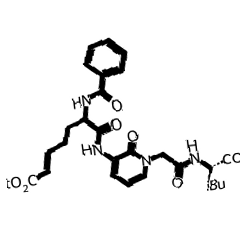 CCOC(=O)C=CCCC(NC(=O)c1ccccc1)C(=O)Nc1cccn(CC(=O)N[C@H](C(=O)O)[C@H](C)CC)c1=O